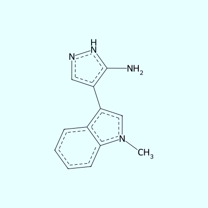 Cn1cc(-c2cn[nH]c2N)c2ccccc21